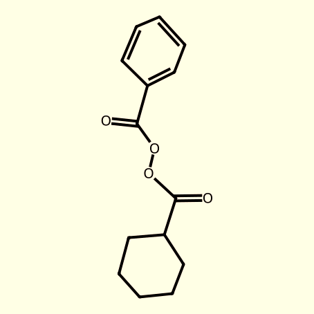 O=C(OOC(=O)C1CCCCC1)c1ccccc1